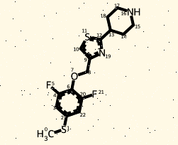 CSc1cc(F)c(OCc2csc(C3CCNCC3)n2)c(F)c1